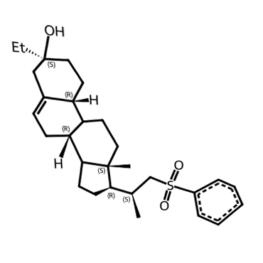 CC[C@]1(O)CC[C@H]2C(=CC[C@@H]3C2CC[C@@]2(C)C3CC[C@@H]2[C@H](C)CS(=O)(=O)c2ccccc2)C1